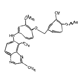 COc1cnc2ccc(Nc3ccc(OCc4ccc(OC)c(C#N)c4)c(OC)c3)c(C#N)c2n1